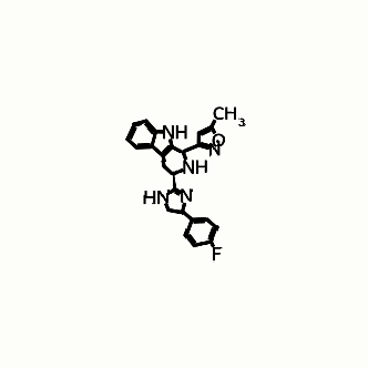 Cc1cc(C2N[C@@H](C3=NC(c4ccc(F)cc4)CN3)Cc3c2[nH]c2ccccc32)no1